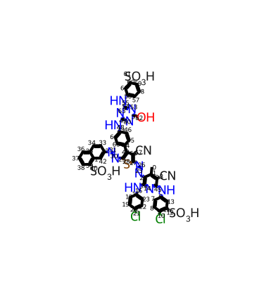 Cc1c(C#N)c(Nc2ccc(Cl)c(S(=O)(=O)O)c2)nc(Nc2ccc(Cl)cc2)c1N=Nc1sc(N=Nc2ccc3cccc(S(=O)(=O)O)c3c2)c(-c2ccc(Nc3nc(O)nc(Nc4cccc(S(=O)(=O)O)c4)n3)cc2)c1C#N